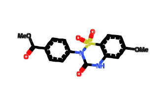 COC(=O)c1ccc(N2C(=O)Nc3cc(OC)ccc3S2(=O)=O)cc1